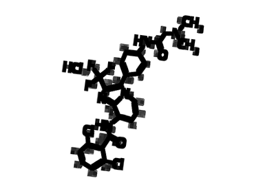 CN(C)CC(=O)Nc1ccc(-c2c(C(F)(F)F)nc3c(NC(=O)c4c(Cl)cccc4Cl)cccn23)cc1.Cl